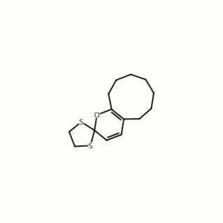 C1=CC2(OC3=C1CCCCCCC3)SCCS2